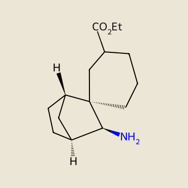 CCOC(=O)C1CCC[C@@]2(C1)[C@H]1CC[C@@H](C1)[C@@H]2N